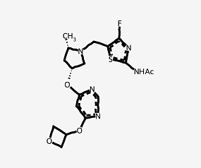 CC(=O)Nc1nc(F)c(CN2C[C@H](Oc3cc(OC4COC4)ncn3)C[C@@H]2C)s1